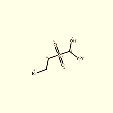 CCCC(O)S(=O)(=O)CCBr